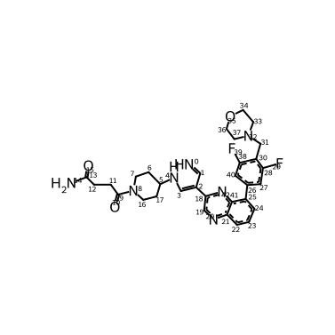 N=C/C(=C\NC1CCN(C(=O)CCC(N)=O)CC1)c1cnc2cccc(-c3cc(F)c(CN4CCOCC4)c(F)c3)c2n1